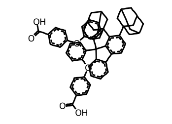 O=C(O)c1ccc(Oc2ccccc2C2(c3ccccc3Oc3ccc(C(=O)O)cc3)c3ccccc3-c3ccc(C45CC6CC(CC(C6)C4)C5)c(C45CC6CC(CC(C6)C4)C5)c32)cc1